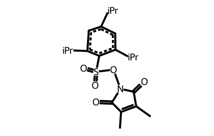 CC1=C(C)C(=O)N(OS(=O)(=O)c2c(C(C)C)cc(C(C)C)cc2C(C)C)C1=O